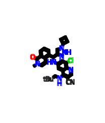 Cn1ccc2c([C@H](Nc3cc(Cl)c4ncc(C#N)c(NCC(C)(C)C)c4c3)C3=CN(C4CCC4)NN3)cccc2c1=O